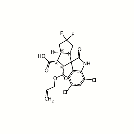 C=CCOC(=O)[C@@H]1[C@@H](C(=O)O)[C@H]2CC(F)(F)CN2C12C(=O)Nc1c(Cl)cc(Cl)cc12